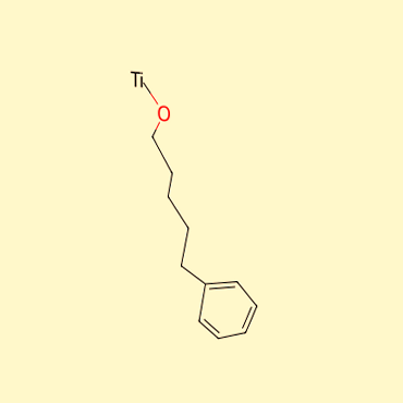 [Ti][O]CCCCCc1ccccc1